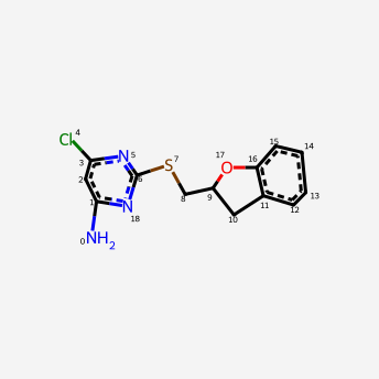 Nc1cc(Cl)nc(SCC2Cc3ccccc3O2)n1